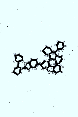 c1ccc(-c2ccccc2-c2cc3cc(-c4cc(-c5c6ccccc6c(-c6ccccc6)c6ccccc56)c5c(c4)sc4ccccc45)ccc3o2)cc1